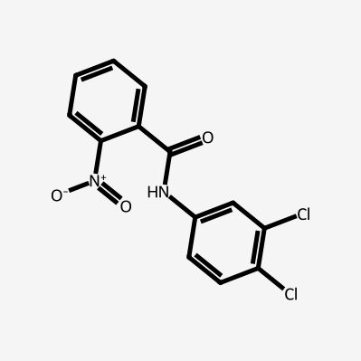 O=C(Nc1ccc(Cl)c(Cl)c1)c1ccccc1[N+](=O)[O-]